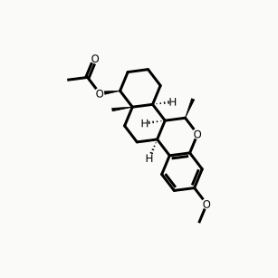 COc1ccc2c(c1)O[C@H](C)[C@H]1[C@@H]2CC[C@]2(C)[C@@H](OC(C)=O)CCC[C@@H]12